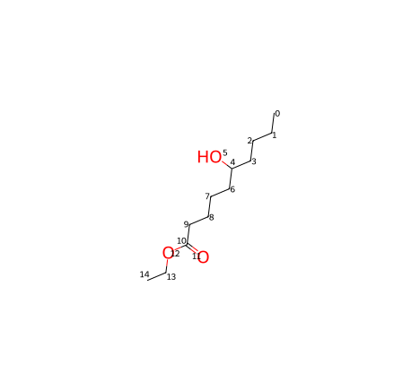 CCCCC(O)CCCCC(=O)OCC